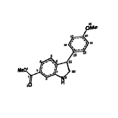 COC(=O)c1ccc2c(c1)NCC2c1ccc(OC)cc1